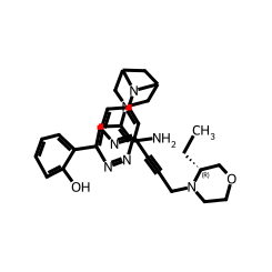 CC[C@@H]1COCCN1CC#Cc1cc(N2C3CC2CN(c2cc(-c4ccccc4O)nnc2N)C3)ccn1